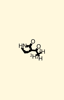 [2H]C([2H])([2H])C(=O)c1ccc[nH]c1=O